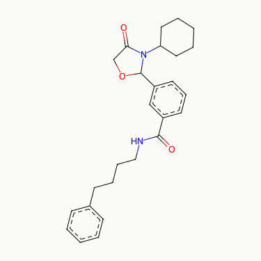 O=C(NCCCCc1ccccc1)c1cccc(C2OCC(=O)N2C2CCCCC2)c1